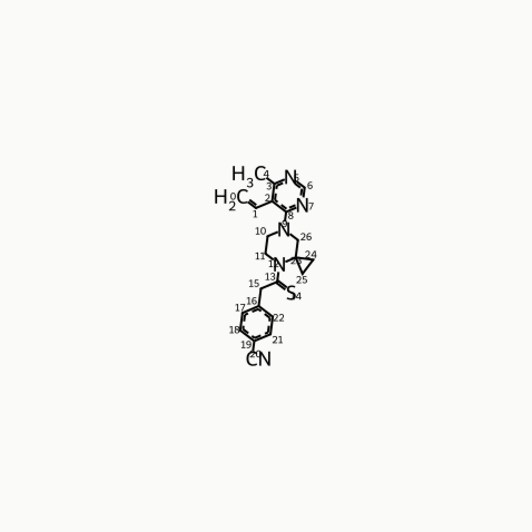 C=Cc1c(C)ncnc1N1CCN(C(=S)Cc2ccc(C#N)cc2)C2(CC2)C1